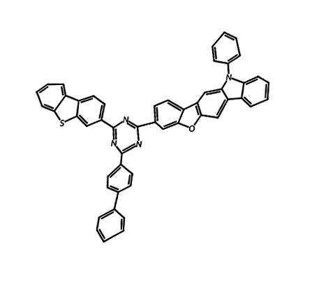 c1ccc(-c2ccc(-c3nc(-c4ccc5c(c4)oc4cc6c7ccccc7n(-c7ccccc7)c6cc45)nc(-c4ccc5c(c4)sc4ccccc45)n3)cc2)cc1